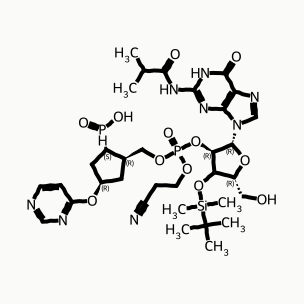 CC(C)C(=O)Nc1nc2c(ncn2[C@@H]2O[C@H](CO)C(O[Si](C)(C)C(C)(C)C)[C@H]2OP(=O)(OCCC#N)OC[C@H]2C[C@@H](Oc3ccncn3)C[C@@H]2[PH](=O)O)c(=O)[nH]1